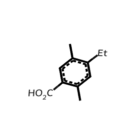 CCc1cc(C)c(C(=O)O)cc1C